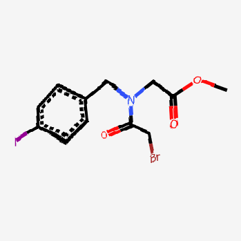 COC(=O)CN(Cc1ccc(I)cc1)C(=O)CBr